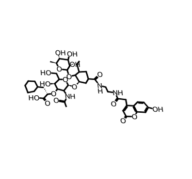 CCC1CC(C(=O)NCCNC(=O)Cc2cc(=O)oc3cc(O)ccc23)C[C@@H](O[C@@H]2OC(CO)[C@H](O)C(O[C@@H](CC3CCCCC3)C(=O)O)C2NC(C)=O)C1OC1O[C@@H](C)[C@H](O)C(O)[C@@H]1O